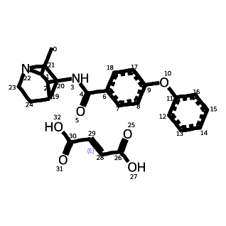 CC1C(NC(=O)c2ccc(Oc3ccccc3)cc2)C2CCN1CC2.O=C(O)/C=C/C(=O)O